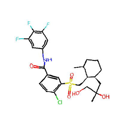 CC1CCC[C@@H](CC(C)(O)CO)[C@H]1CS(=O)(=O)c1cc(C(=O)Nc2cc(F)c(F)c(F)c2)ccc1Cl